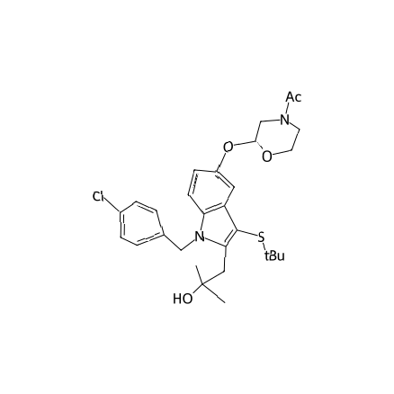 CC(=O)N1CCOC(Oc2ccc3c(c2)c(SC(C)(C)C)c(CC(C)(C)O)n3Cc2ccc(Cl)cc2)C1